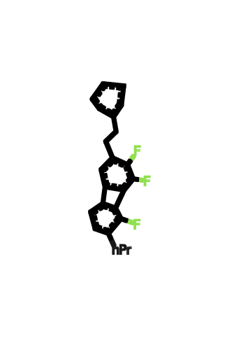 CCCc1ccc2c(c1F)-c1c-2cc(CCc2ccccc2)c(F)c1F